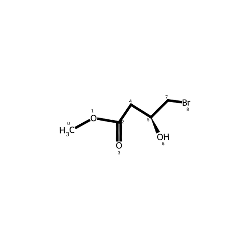 COC(=O)C[C@H](O)CBr